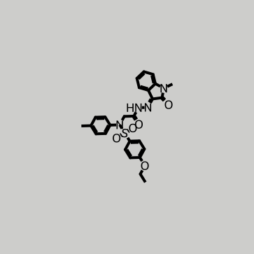 CCOc1ccc(S(=O)(=O)N(CC(=O)N/N=C2/C(=O)N(C)c3ccccc32)c2ccc(C)cc2)cc1